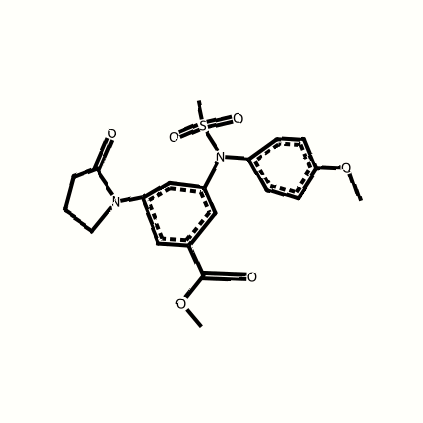 COC(=O)c1cc(N2CCCC2=O)cc(N(c2ccc(OC)cc2)S(C)(=O)=O)c1